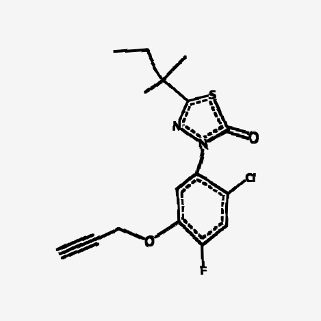 C#CCOc1cc(-n2nc(C(C)(C)CC)sc2=O)c(Cl)cc1F